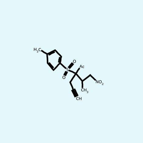 C#CCC(C(C)=O)(C(C)C[N+](=O)[O-])S(=O)(=O)c1ccc(C)cc1